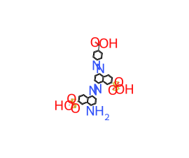 Nc1ccc(N=Nc2ccc(N=Nc3ccc(C(=O)O)cc3)c3ccc(S(=O)(=O)O)cc23)c2ccc(S(=O)(=O)O)cc12